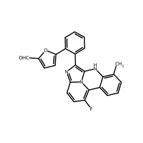 Cc1cccc2c1Nc1c(-c3ccccc3-c3ccc(C=O)o3)nc3ccc(F)c-2n13